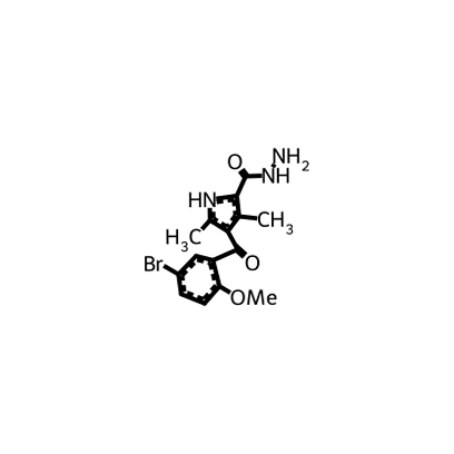 COc1ccc(Br)cc1C(=O)c1c(C)[nH]c(C(=O)NN)c1C